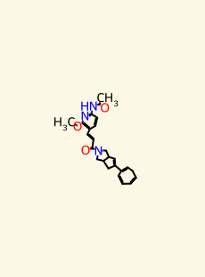 COc1nc(NC(C)=O)ccc1/C=C/C(=O)N1CC2C=C(C3=CCC=CC=C3)CC2C1